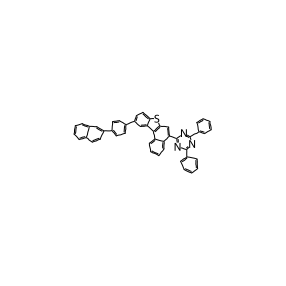 c1ccc(-c2nc(-c3ccccc3)nc(-c3cc4sc5ccc(-c6ccc(-c7ccc8ccccc8c7)cc6)cc5c4c4ccccc34)n2)cc1